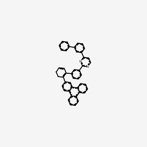 C1=CC(c2cccc(-c3nccc(-c4cccc(-c5ccccc5)c4)n3)c2)=C(c2ccc3c4ccccc4c4ccccc4c3c2)CC1